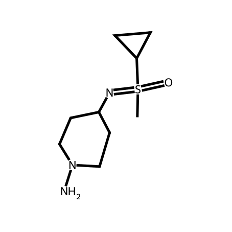 CS(=O)(=NC1CCN(N)CC1)C1CC1